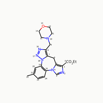 CCOC(=O)c1ncn2c1Cc1c(CN3CCOCC3)nnn1-c1cc(C)ccc1-2